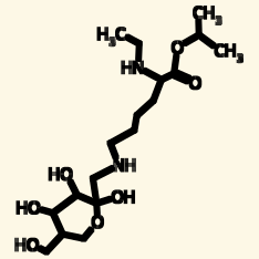 CCNC(CCCCNCC1(O)OCC(CO)C(O)C1O)C(=O)OC(C)C